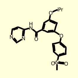 CC(C)Oc1cc(Oc2ccc(S(C)(=O)=O)cc2)cc(C(=O)Nc2ccncn2)c1